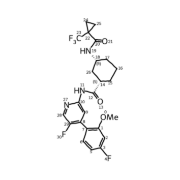 COc1cc(F)ccc1-c1cc(NC(=O)[C@H]2CCC[C@@H](NC(=O)C3(C(F)(F)F)CC3)C2)ncc1F